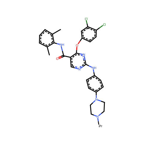 Cc1cccc(C)c1NC(=O)c1cnc(Nc2ccc(N3CCN(C(C)C)CC3)cc2)nc1Oc1ccc(Cl)c(Cl)c1